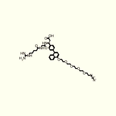 [N-]=[N+]=NCCOCCOCCOCCOCCOc1ccc(-c2ccc([C@H](CC(=O)O)NC(=O)CNC(=O)CCCCNC(=N)N)cc2)c2ccccc12